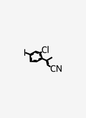 C/C(=C\C#N)c1ccc(I)cc1Cl